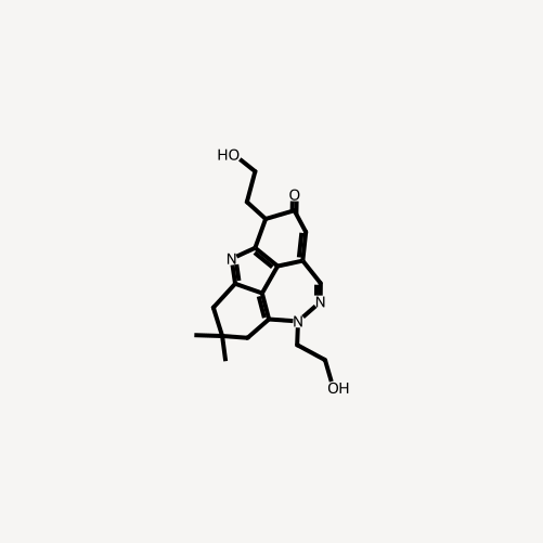 CC1(C)CC2=NC3=C4C(=CC(=O)C3CCO)C=NN(CCO)C(=C24)C1